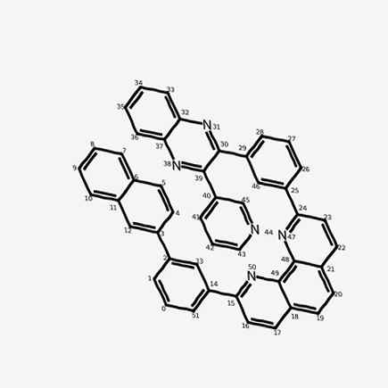 c1cc(-c2ccc3ccccc3c2)cc(-c2ccc3ccc4ccc(-c5cccc(-c6nc7ccccc7nc6-c6cccnc6)c5)nc4c3n2)c1